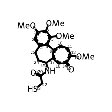 COc1cc2c(c(OC)c1OC)-c1ccc(OC)c(=O)cc1C(NC(=O)CS)CC2